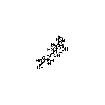 CC1=NC2[C@@H](O1)OC(CO)[C@@H](O[C@H](O)C(O)[C@@H](O)[C@H](O)CCO[C@@H](O)[C@H](O)C(O)[C@H](O)CCO)[C@@H]2O